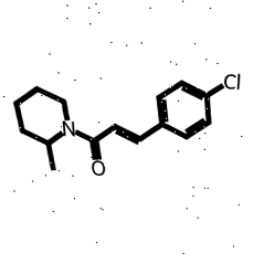 CC1CCCCN1C(=O)C=Cc1ccc(Cl)cc1